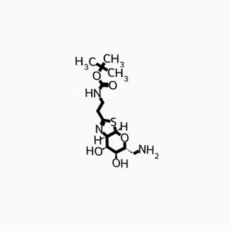 CC(C)(C)OC(=O)NCCC1=N[C@@H]2[C@@H](O)[C@H](O)[C@@H](CN)O[C@@H]2S1